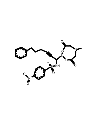 CN1CC(=O)OB(C(C#CCCCc2ccccc2)NS(=O)(=O)c2ccc([N+](=O)[O-])cc2)OC(=O)C1